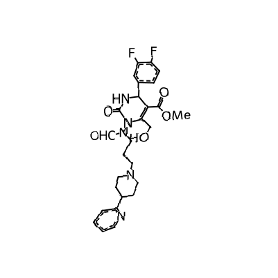 COC(=O)C1=C(CO)N(N(C=O)CCCN2CCC(c3ccccn3)CC2)C(=O)NC1c1ccc(F)c(F)c1